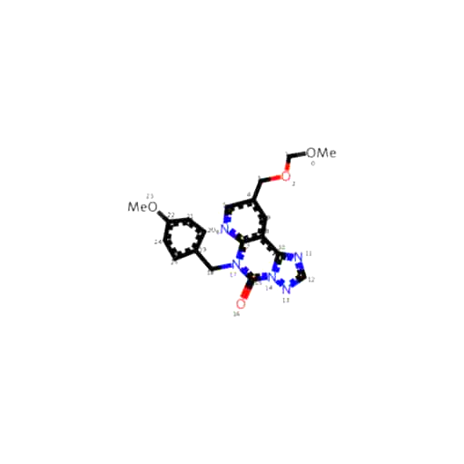 COCOCc1cnc2c(c1)c1ncnn1c(=O)n2Cc1ccc(OC)cc1